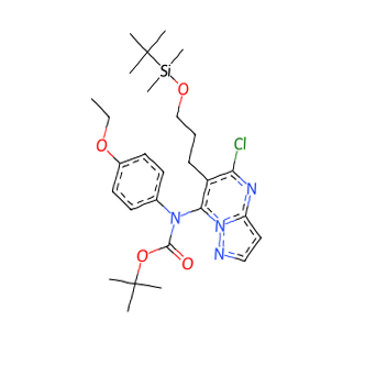 CCOc1ccc(N(C(=O)OC(C)(C)C)c2c(CCCO[Si](C)(C)C(C)(C)C)c(Cl)nc3ccnn23)cc1